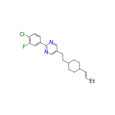 CCC=CC1CCC(CCc2cnc(-c3ccc(Cl)c(F)c3)nc2)CC1